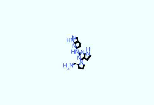 NC[C@@H]1CCCN1c1nc(Nc2ccc3cn[nH]c3n2)nc2[nH]ccc12